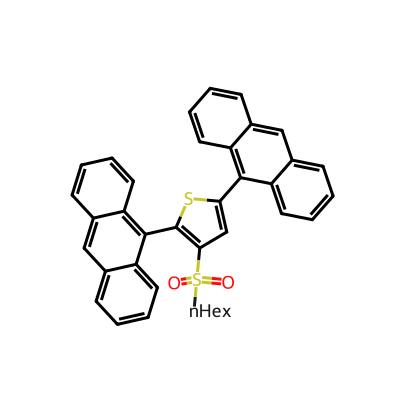 CCCCCCS(=O)(=O)c1cc(-c2c3ccccc3cc3ccccc23)sc1-c1c2ccccc2cc2ccccc12